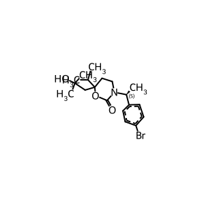 CC(C)C1(CC(C)(C)O)CCN([C@@H](C)c2ccc(Br)cc2)C(=O)O1